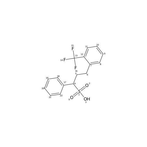 O=S(=O)(O)C(CCc1ccccc1C(F)(F)F)c1ccccc1